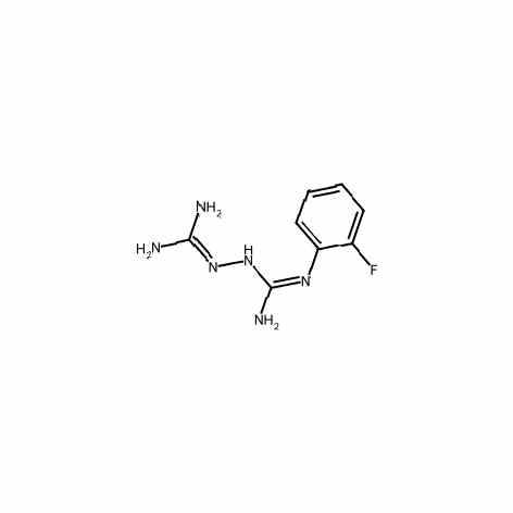 NC(N)=NNC(N)=Nc1ccccc1F